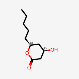 CCCCC[C@H]1C[C@@H](O)CC(=O)O1